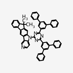 CC1(C)c2ccccc2-c2cc3c4cnccc4n(-c4nc(-c5cc(-c6ccccc6)cc(-c6ccccc6)c5)nc(-c5cc(-c6ccccc6)cc(-c6ccccc6)c5)n4)c3cc21